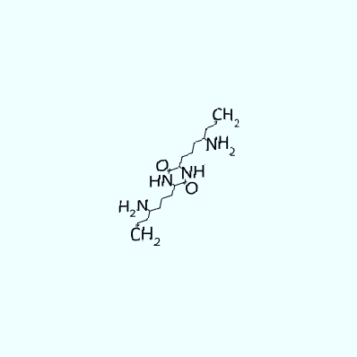 C=CCC(N)CCCC1NC(=O)C(CCCC(N)CC=C)NC1=O